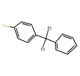 CCC(CC)(c1ccccc1)c1ccc(F)cc1